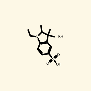 CCN1c2ccc(S(=O)(=O)O)cc2C(C)(C)C1C.[KH]